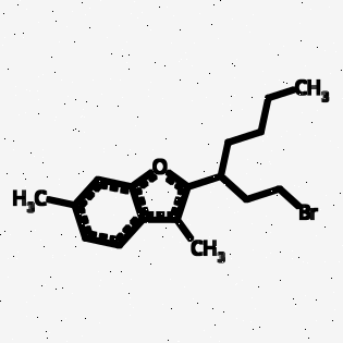 CCCCC(CCBr)c1oc2cc(C)ccc2c1C